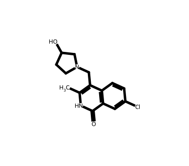 Cc1[nH]c(=O)c2cc(Cl)ccc2c1CN1CCC(O)C1